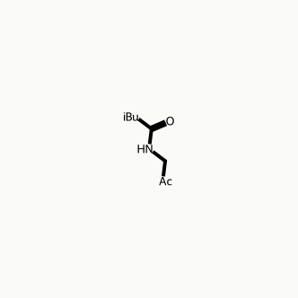 CCC(C)C(=O)NCC(C)=O